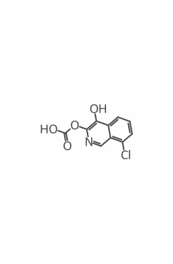 O=C(O)Oc1ncc2c(Cl)cccc2c1O